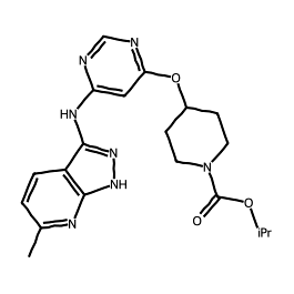 Cc1ccc2c(Nc3cc(OC4CCN(C(=O)OC(C)C)CC4)ncn3)n[nH]c2n1